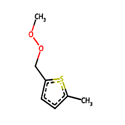 COOCc1ccc(C)s1